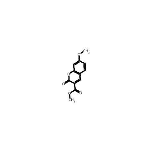 COC(=O)c1cc2ccc(OC)cc2oc1=O